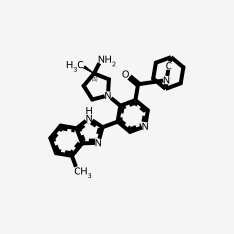 Cc1cccc2[nH]c(-c3cncc(C(=O)N4CC5CCC4CC5)c3N3CC[C@](C)(N)C3)nc12